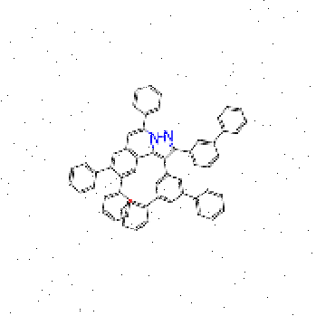 c1ccc(-c2cccc(-c3nn4c(-c5ccccc5)cc5cc(-c6ccccc6)c(-c6ccccc6)cc5c4c3-c3cc(-c4ccccc4)cc(-c4ccccc4)c3)c2)cc1